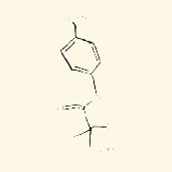 COc1ccc(OC(=O)C(F)(F)S(=O)(=O)O)cc1